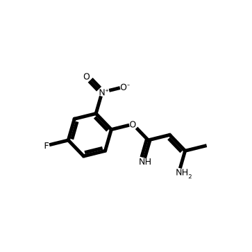 C/C(N)=C/C(=N)Oc1ccc(F)cc1[N+](=O)[O-]